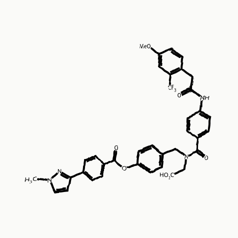 COc1ccc(CC(=O)Nc2ccc(C(=O)N(CC(=O)O)Cc3ccc(OC(=O)c4ccc(-c5ccn(C)n5)cc4)cc3)cc2)c(C(F)(F)F)c1